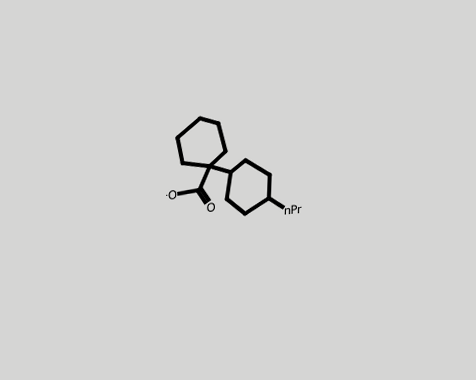 CCCC1CCC(C2(C([O])=O)CCCCC2)CC1